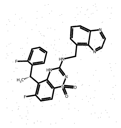 C[C@H](c1ccccc1F)c1c(F)ccc2c1NC(NCc1cccc3nccnc13)=NS2(=O)=O